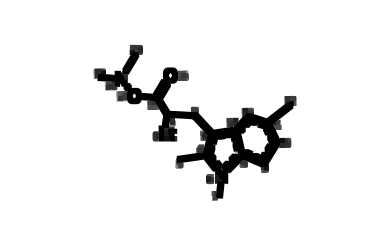 CCC(Cc1c(C)n(C)c2ccc(C)cc12)C(=O)ON(C)C